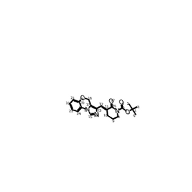 CC(C)(C)OC(=O)N1CCC/C(=C\c2ncn3c2COc2ccccc2-3)C1=O